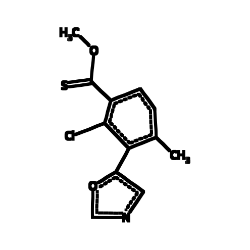 COC(=S)c1ccc(C)c(-c2cnco2)c1Cl